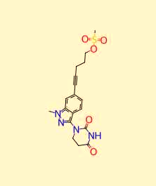 Cn1nc(N2CCC(=O)NC2=O)c2ccc(C#CCCCOS(C)(=O)=O)cc21